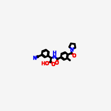 Cc1cc(C(=O)NC(C(=O)O)c2cccc(C#N)c2)ccc1C(=O)N1CCCC1